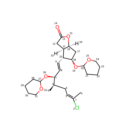 C/C(Cl)=C\C[C@@H](C)[C@H](/C=C/[C@@H]1[C@H]2CC(=O)O[C@H]2C[C@H]1OC1CCCCO1)OC1CCCCO1